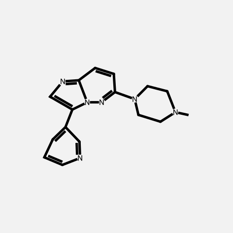 CN1CCN(c2ccc3ncc(-c4cccnc4)n3n2)CC1